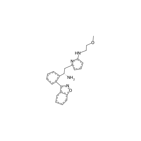 COCCNc1cccc(C[C@H](N)c2ccccc2-c2noc3ccccc23)n1